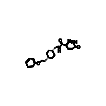 O=C(NC[C@H]1CC[C@@H](CCOc2ccccc2)CC1)c1ccc(=O)[nH]n1